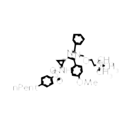 CCCCCc1ccc(S(=O)(=O)N[C@H]2C[C@@H]2c2nc(-c3ccccc3)n(COCC[Si](C)(C)C)c2-c2ccc(OC)cc2)cc1